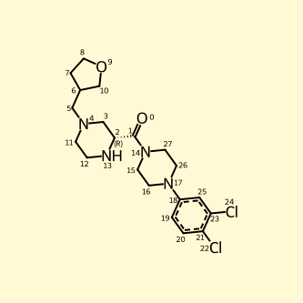 O=C([C@H]1CN(CC2CCOC2)CCN1)N1CCN(c2ccc(Cl)c(Cl)c2)CC1